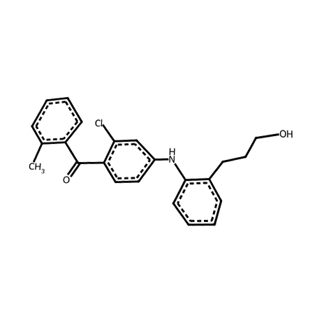 Cc1ccccc1C(=O)c1ccc(Nc2ccccc2CCCO)cc1Cl